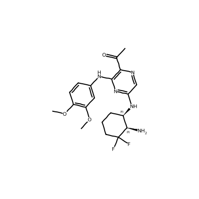 COc1ccc(Nc2nc(N[C@@H]3CCCC(F)(F)[C@@H]3N)cnc2C(C)=O)cc1OC